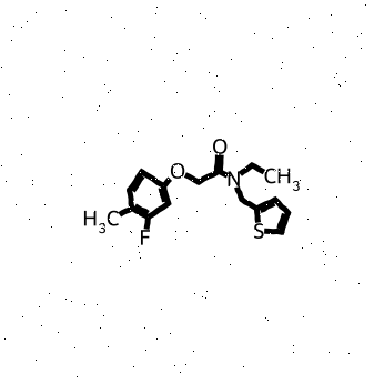 CCN(Cc1cccs1)C(=O)COc1ccc(C)c(F)c1